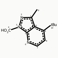 Cc1nn(C(=O)O)c2nccc(C(C)(C)C)c12